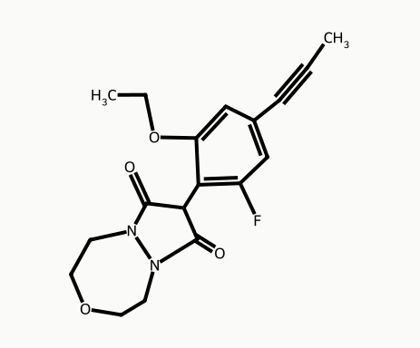 CC#Cc1cc(F)c(C2C(=O)N3CCOCCN3C2=O)c(OCC)c1